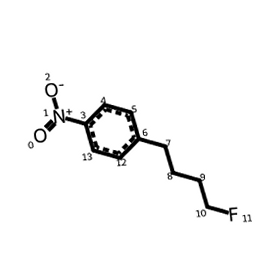 O=[N+]([O-])c1ccc(CCCCF)cc1